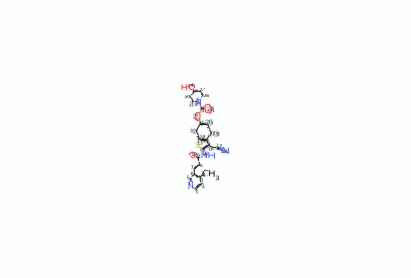 Cc1ccncc1C=CC(=O)Nc1sc2c(c1C#N)CCC(OC(=O)N1CCC(O)CC1)C2